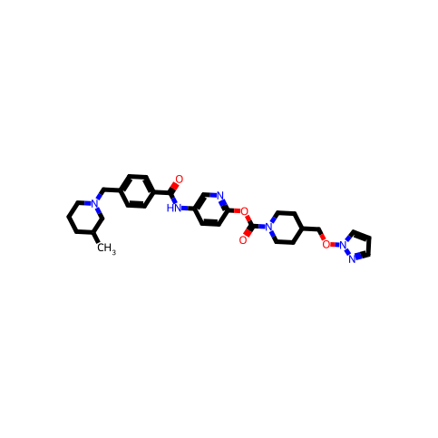 CC1CCCN(Cc2ccc(C(=O)Nc3ccc(OC(=O)N4CCC(COn5cccn5)CC4)nc3)cc2)C1